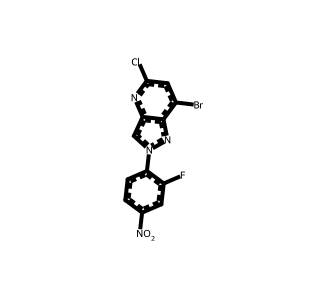 O=[N+]([O-])c1ccc(-n2cc3nc(Cl)cc(Br)c3n2)c(F)c1